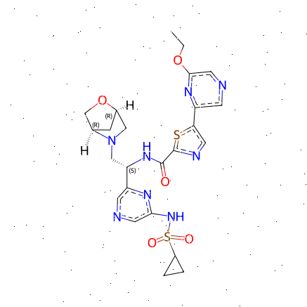 CCOc1cncc(-c2cnc(C(=O)N[C@@H](CN3C[C@H]4C[C@@H]3CO4)c3cncc(NS(=O)(=O)C4CC4)n3)s2)n1